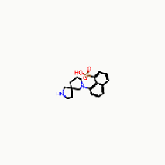 O=S(=O)(O)c1cccc2cccc(N3CCCC4(CCNC4)C3)c12